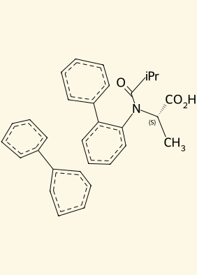 CC(C)C(=O)N(c1ccccc1-c1ccccc1)[C@@H](C)C(=O)O.c1ccc(-c2ccccc2)cc1